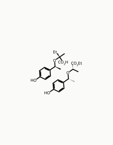 CCOC(=O)[C@H](C)O[C@H](C)c1ccc(O)cc1.CC[C@](C)(O[C@@H](C)c1ccc(O)cc1)C(=O)O